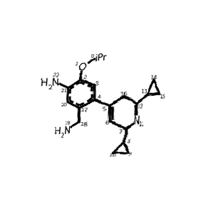 CC(C)Oc1cc(C2=CC(C3CC3)N=C(C3CC3)C2)c(CN)cc1N